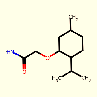 CC1CCC(C(C)C)C(OCC([NH])=O)C1